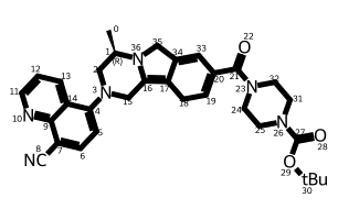 C[C@@H]1CN(c2ccc(C#N)c3ncccc23)CC2=C3CC=C(C(=O)N4CCN(C(=O)OC(C)(C)C)CC4)C=C3CN21